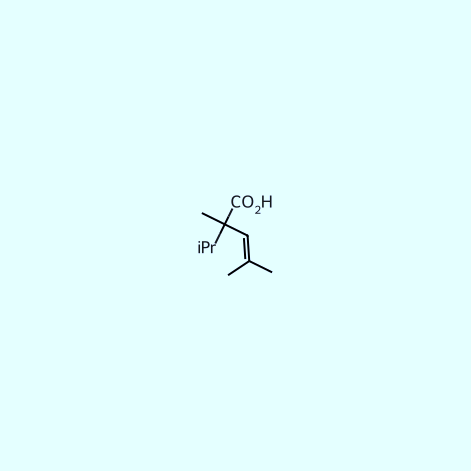 CC(C)=CC(C)(C(=O)O)C(C)C